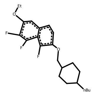 CCCCC1CCC(COc2ccc3cc(OCC)c(F)c(F)c3c2F)CC1